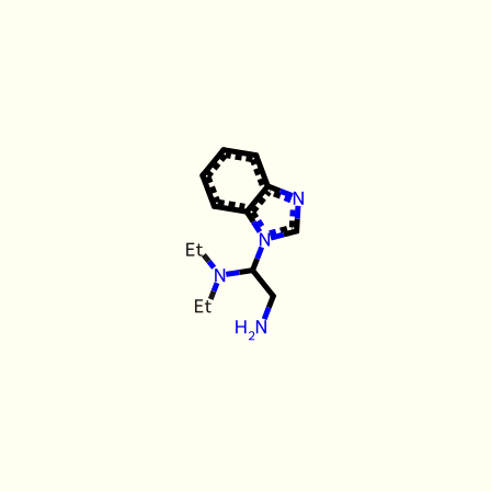 CCN(CC)C(CN)n1cnc2ccccc21